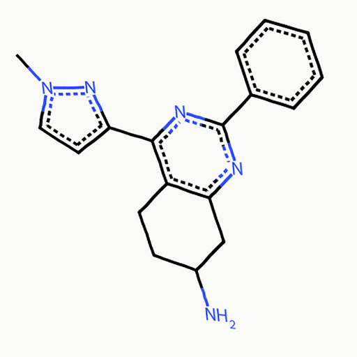 Cn1ccc(-c2nc(-c3ccccc3)nc3c2CCC(N)C3)n1